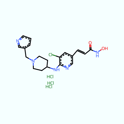 Cl.Cl.Cl.O=C(C=Cc1cnc(NC2CCN(Cc3cccnc3)CC2)c(Cl)c1)NO